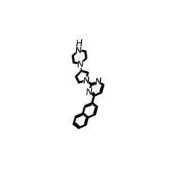 c1ccc2cc(-c3ccnc(N4CC[C@H](N5CCNCC5)C4)n3)ccc2c1